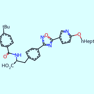 CCCCCCCOc1ccc(-c2nc(-c3ccc(C[C@H](NC(=O)c4ccc(C(C)(C)C)cc4)C(=O)O)cc3)no2)cn1